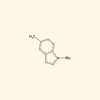 Cc1ccc2c(ccn2C(C)(C)C)c1